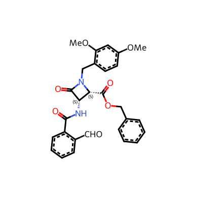 COc1ccc(CN2C(=O)[C@@H](NC(=O)c3ccccc3C=O)[C@H]2C(=O)OCc2ccccc2)c(OC)c1